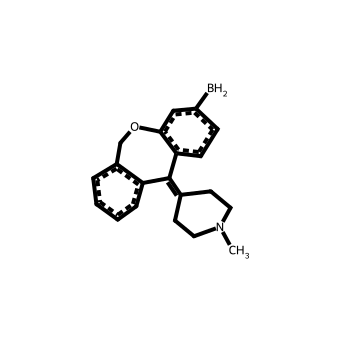 Bc1ccc2c(c1)OCc1ccccc1C2=C1CCN(C)CC1